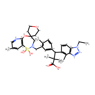 CCn1nnc2c(C)c(C(c3ccc(C)c(CN4CC5(CCOCC5)Oc5ncc(C)cc5S4(O)O)c3)C(C)(C)C(=O)O)ccc21